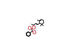 CC1=CCCC(C)(C)C1C=CC(C)OC(=O)C(=O)c1ccccc1